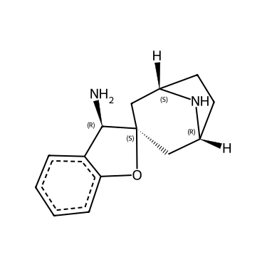 N[C@@H]1c2ccccc2O[C@@]12C[C@H]1CC[C@@H](C2)N1